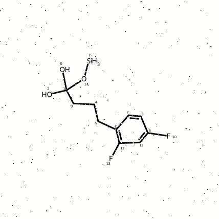 OC(O)(CCCc1ccc(F)cc1F)O[SiH3]